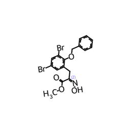 COC(=O)/C(Cc1cc(Br)cc(Br)c1OCc1ccccc1)=N\O